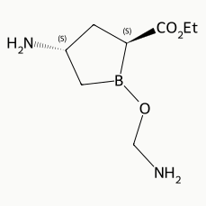 CCOC(=O)[C@@H]1C[C@@H](N)CB1OCN